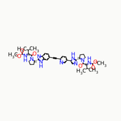 COC(=O)N[C@H](C(=O)N1CCC[C@H]1c1ncc(-c2ccc(C#Cc3ccc4nc([C@@H]5CCCN5C(=O)[C@@H](NC(=O)OC)C(C)C)[nH]c4c3)nc2)[nH]1)C(C)C